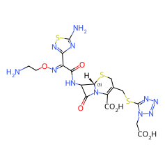 NCCON=C(C(=O)NC1C(=O)N2C(C(=O)O)=C(CSc3nnnn3CC(=O)O)CS[C@@H]12)c1nsc(N)n1